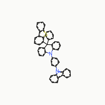 c1ccc(C2(c3cccc4c3sc3ccccc34)c3ccccc3N(c3ccc(-n4c5ccccc5c5ccccc54)cc3)c3ccccc32)cc1